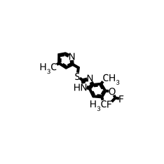 Cc1ccnc(CSc2nc3c(C)c(OC(F)F)c(C)cc3[nH]2)c1